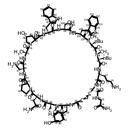 CCCC[C@H]1C(=O)N(C)[C@@H](CCCC)C(=O)N[C@@H](CCCN)C(=O)N[C@H](C(=O)NCC(N)=O)CSCC(=O)N[C@@H](Cc2ccc(O)cc2)C(=O)N(C)[C@@H](C)C(=O)N[C@@H](CC(N)=O)C(=O)N2CCC[C@H]2C(=O)N[C@@H](CN)C(=O)N[C@@H](C)C(=O)N2C[C@H](O)C[C@H]2C(=O)N[C@@H](Cc2c[nH]c3ccccc23)C(=O)N[C@@H](CO)C(=O)N[C@@H](Cc2csc3ccccc23)C(=O)N1C